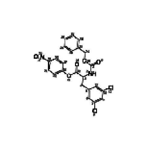 O=C(NC(Cc1cc(Cl)cc(Cl)c1)C(=O)Oc1ccc([N+](=O)[O-])cc1)OCc1ccccc1